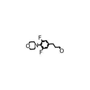 O=CCCc1cc(F)c(N2CCOCC2)c(F)c1